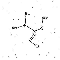 CC/C=C(\SCCC)N(CC)CCC